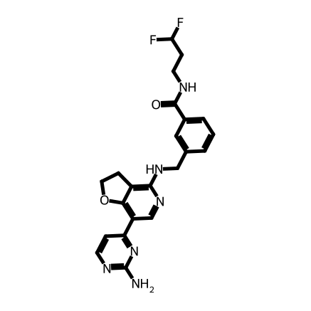 Nc1nccc(-c2cnc(NCc3cccc(C(=O)NCCC(F)F)c3)c3c2OCC3)n1